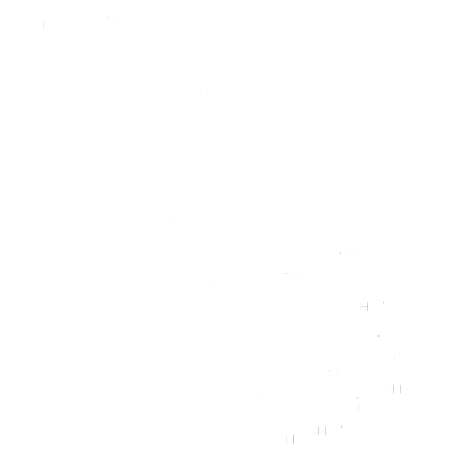 CCC(=CC=CC(O)(CC)CC)c1csc(COc2ccc(C(O[SiH](C)C)C(C)(C)C)c(C(O[SiH](C)C)C(C)(C)C)c2)c1